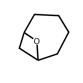 C1CCC2CC(C1)O2